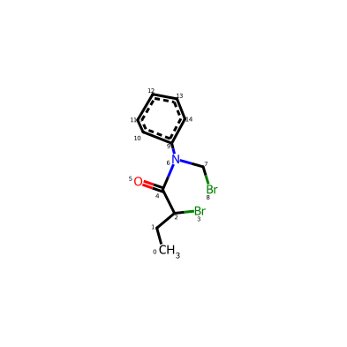 CCC(Br)C(=O)N(CBr)c1ccccc1